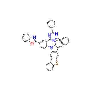 c1ccc(-c2nc(-c3ccccc3)nc(-c3cc(-c4nc5ccccc5o4)ccc3-n3c4ccccc4c4cc5sc6ccccc6c5cc43)n2)cc1